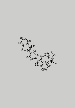 C/N=C1\CCCC12CCN(C(=O)c1ccc(NC(=O)c3ccccc3C)cc1)c1ccccc1C2